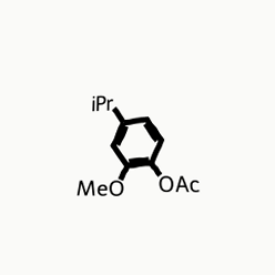 COc1cc(C(C)C)ccc1OC(C)=O